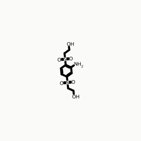 Nc1cc(S(=O)(=O)CCO)ccc1S(=O)(=O)CCO